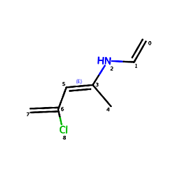 C=CN/C(C)=C/C(=C)Cl